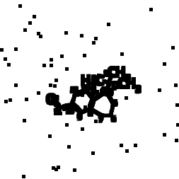 CC(C)(C)[C@H]1CCCc2cc(C=O)ccc21